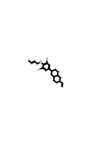 C=CC1CCC2CC(c3cc(F)c(OCC=CC)c(F)c3)CCC2C1